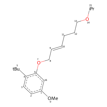 COc1ccc(C(C)(C)C)c(OC/C=C/CCCOC(C)C)c1